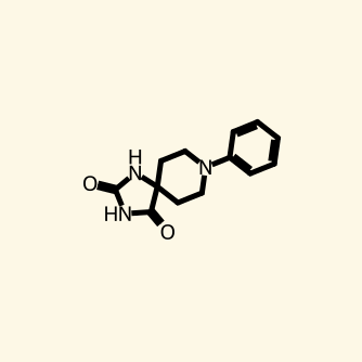 O=C1NC(=O)C2(CCN(c3ccccc3)CC2)N1